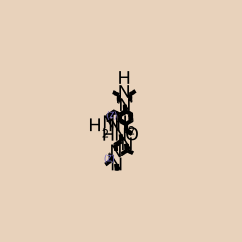 C=N/C(C)=C\N1C=C(NC(=O)c2ccc(N3CC(C)NC(C)C3)c(/C=C\N)c2N)N=C(C)C1